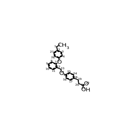 CCc1ccc(Oc2ccccc2COc2ccc(CCC(=O)O)cc2)cc1